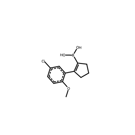 COc1ccc(Cl)cc1C1=C(B(O)O)CCC1